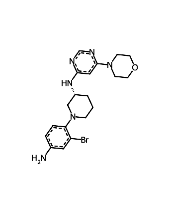 Nc1ccc(N2CCC[C@@H](Nc3cc(N4CCOCC4)ncn3)C2)c(Br)c1